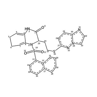 O=C1NC2=CCCC=C2N(S(=O)(=O)c2cccc3ccccc23)C1CCSc1ccc2nccn2n1